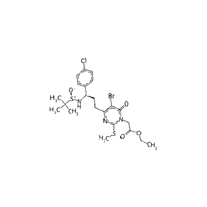 CCOC(=O)Cn1c(SC)nc(CC[C@@H](N[S@+]([O-])C(C)(C)C)c2ccc(Cl)cc2)c(Br)c1=O